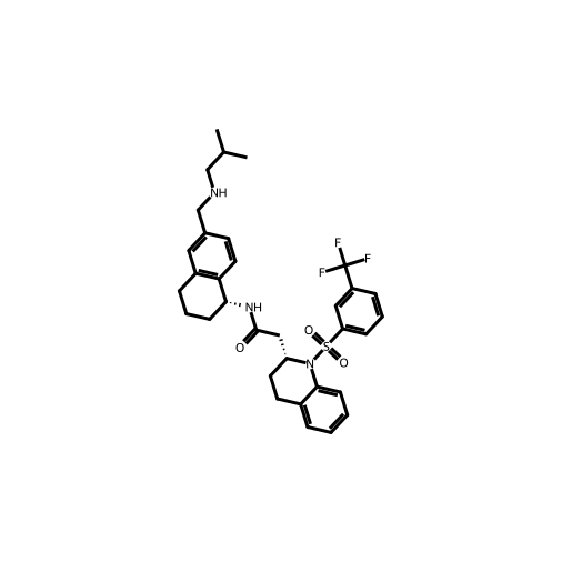 CC(C)CNCc1ccc2c(c1)CCC[C@H]2NC(=O)C[C@H]1CCc2ccccc2N1S(=O)(=O)c1cccc(C(F)(F)F)c1